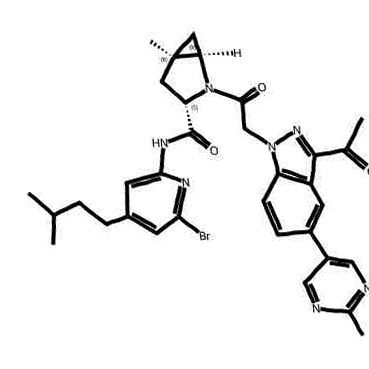 CC(=O)c1nn(CC(=O)N2[C@H](C(=O)Nc3cc(CCC(C)C)cc(Br)n3)C[C@@]3(C)C[C@@H]23)c2ccc(-c3cnc(C)nc3)cc12